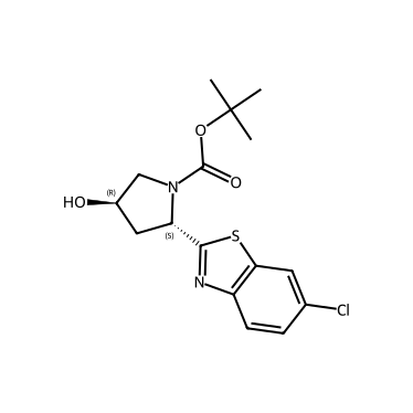 CC(C)(C)OC(=O)N1C[C@H](O)C[C@H]1c1nc2ccc(Cl)cc2s1